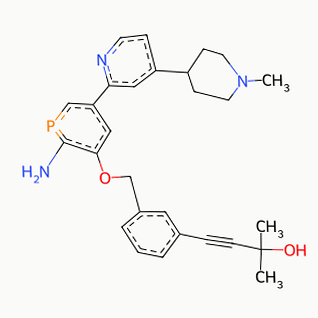 CN1CCC(c2ccnc(-c3cpc(N)c(OCc4cccc(C#CC(C)(C)O)c4)c3)c2)CC1